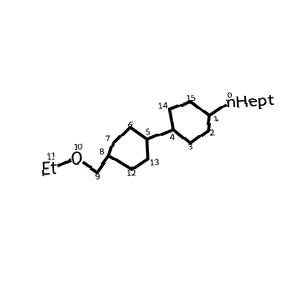 CCCCCCCC1CCC(C2CCC(COCC)CC2)CC1